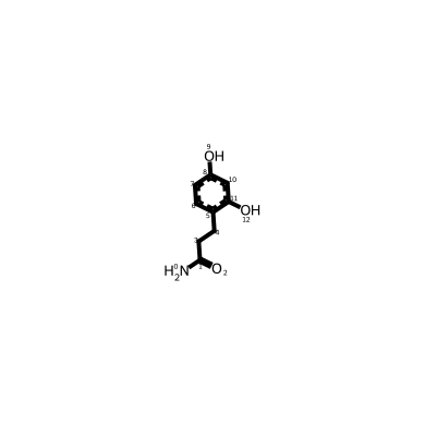 NC(=O)CCc1ccc(O)cc1O